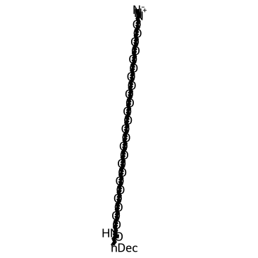 CCCCCCCCCCCCCC(=O)NCCOCCOCCOCCOCCOCCOCCOCCOCCOCCOCCOCCOCCOCCOCCOCCOCCOCCOCCOCCOCCOCCOCCOCCOCCN=[N+]=[N-]